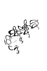 C=C(C)C(=O)OC(C)(C)C(C)(C)C(=O)OC1(C)C2CC3CC1CC(C)(C3)C2